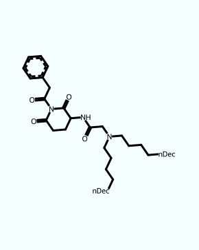 CCCCCCCCCCCCCCN(CCCCCCCCCCCCCC)CC(=O)NC1CCC(=O)N(C(=O)Cc2ccccc2)C1=O